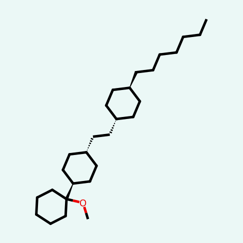 CCCCCCC[C@H]1CC[C@H](CC[C@H]2CC[C@H](C3(OC)CCCCC3)CC2)CC1